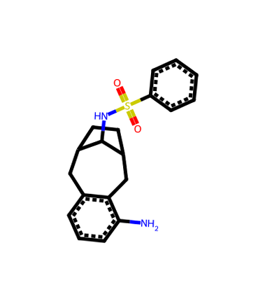 Nc1cccc2c1CC1CCC(C2)C1NS(=O)(=O)c1ccccc1